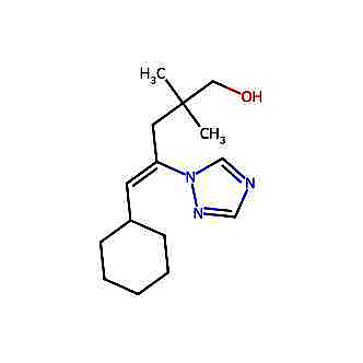 CC(C)(CO)CC(=CC1CCCCC1)n1cncn1